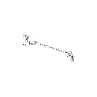 CN(c1ccc2c(n1)c(-c1cncnc1)cn2-c1c(F)ccc(N)c1F)C1CCN(C(=O)CCOCCOCCOCCOCCOCCOCCOCCOCCNc2cccc3c2C(=O)N(C2CCC(=O)NC2=O)C3=O)CC1